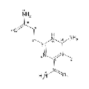 CC1=C(C(N)=O)N=C(CCC(N)=O)NC1N